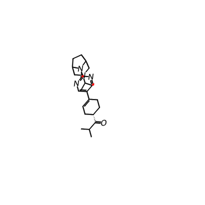 CC(C)C(=O)[C@@H]1CC=C(c2cnc(N3C4CCC3CN(C(C)C)C4)nc2)CC1